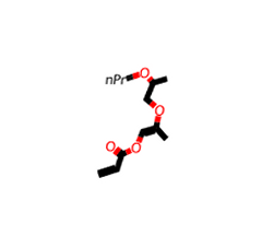 C=CC(=O)OC=C(C)OCC(C)OCCC